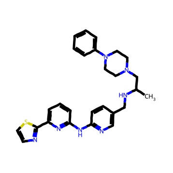 CC(CN1CCN(c2ccccc2)CC1)NCc1ccc(Nc2cccc(-c3nccs3)n2)nc1